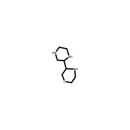 C1CNC(C2COCCN2)CN1